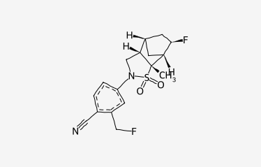 C[C@]12[C@H](CN(c3ccc(C#N)c(CF)c3)S1(=O)=O)[C@@H]1C[C@@H](F)[C@H]2C1